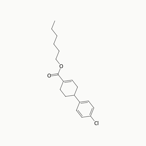 CCCCCCOC(=O)C1=CCC(c2ccc(Cl)cc2)CC1